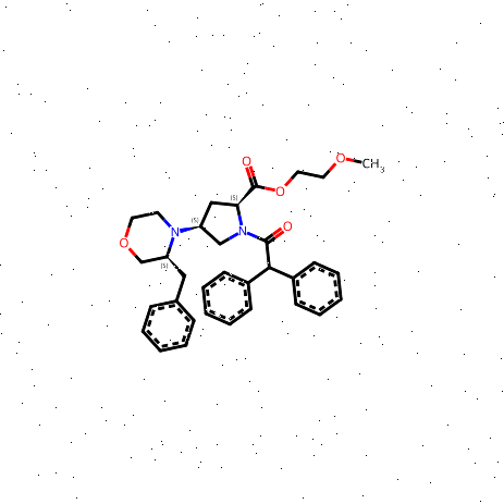 COCCOC(=O)[C@@H]1C[C@H](N2CCOC[C@@H]2Cc2ccccc2)CN1C(=O)C(c1ccccc1)c1ccccc1